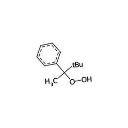 CC(C)(C)C(C)(OO)c1ccccc1